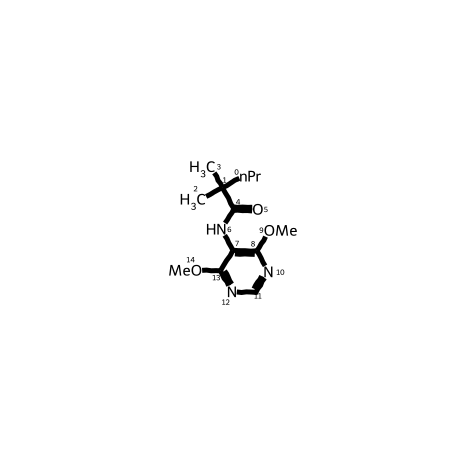 CCCC(C)(C)C(=O)Nc1c(OC)ncnc1OC